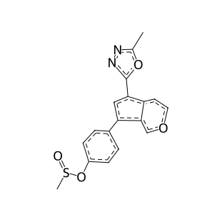 Cc1nnc(-c2cc(-c3ccc(OS(C)=O)cc3)c3coccc2-3)o1